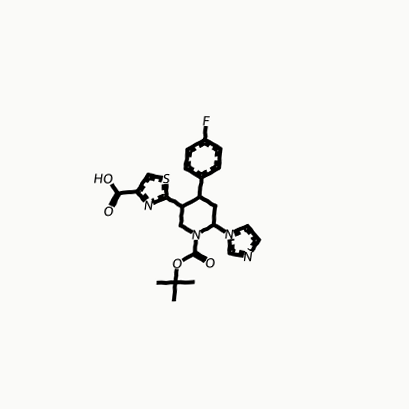 CC(C)(C)OC(=O)N1CC(c2nc(C(=O)O)cs2)C(c2ccc(F)cc2)CC1n1ccnc1